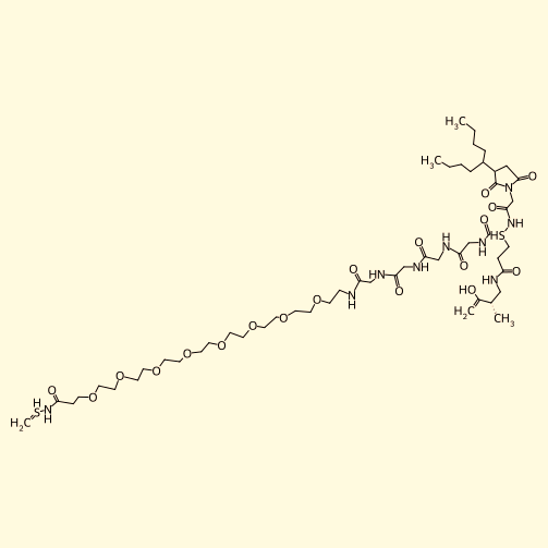 C=[SH]NC(=O)CCOCCOCCOCCOCCOCCOCCOCCOCCNC(=O)CNC(=O)CNC(=O)CNC(=O)CNC(=O)[SH](CCC(=O)NC[C@H](C)C(=C)O)NC(=O)CN1C(=O)CC(C(CCCC)CCCC)C1=O